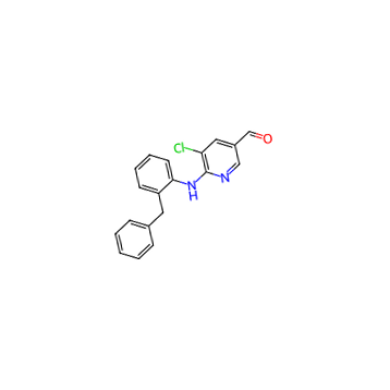 O=Cc1cnc(Nc2ccccc2Cc2ccccc2)c(Cl)c1